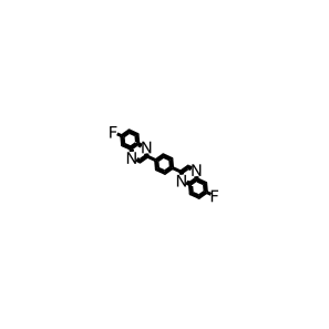 Fc1ccc2nc(-c3ccc(-c4cnc5cc(F)ccc5n4)cc3)cnc2c1